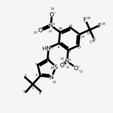 CC(C)(C)c1cc(Nc2c([N+](=O)[O-])cc(C(F)(F)F)cc2[N+](=O)[O-])sn1